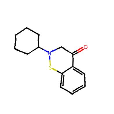 O=C1CN(C2CCCCC2)Sc2ccccc21